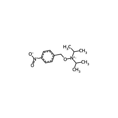 CC(C)[N+](OCc1ccc([N+](=O)[O-])cc1)C(C)C